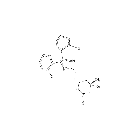 C[C@@]1(O)CC(=O)O[C@H](CSc2nc(-c3ccccc3Cl)c(-c3ccccc3Cl)[nH]2)C1